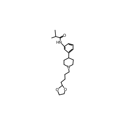 CC(C)C(=O)Nc1cccc(C2CCN(CCCCC3OCCO3)CC2)c1